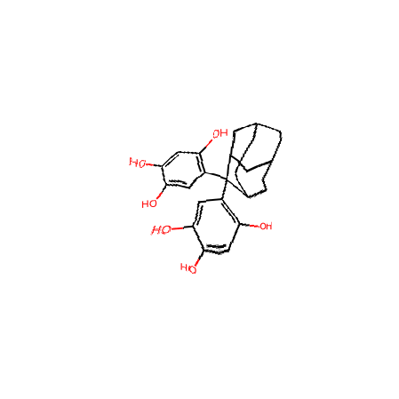 Oc1cc(O)c(C2(c3cc(O)c(O)cc3O)C3CC4CC(C3)CC2C4)cc1O